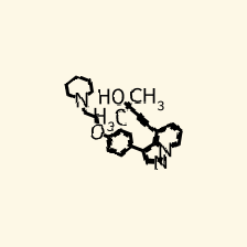 CC(C)(O)C#Cc1cccn2ncc(-c3ccc(OCCN4CCCCC4)cc3)c12